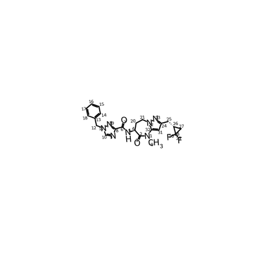 CN1C(=O)[C@@H](NC(=O)c2ncn(Cc3ccccc3)n2)CCn2nc(C[C@@H]3CC3(F)F)cc21